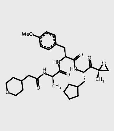 COc1ccc(C[C@H](NC(=O)[C@@H](C)NC(=O)CC2CCOCC2)C(=O)N[C@@H](CC2CCCC2)C(=O)[C@@]2(C)CO2)cc1